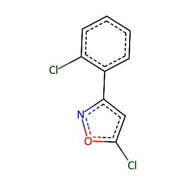 Clc1cc(-c2ccccc2Cl)no1